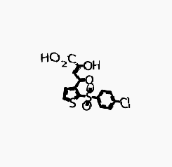 O=C(O)C(O)=CC(=O)c1ccsc1S(=O)(=O)c1ccc(Cl)cc1